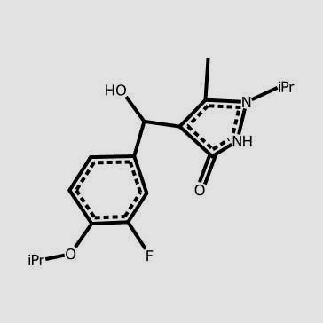 Cc1c(C(O)c2ccc(OC(C)C)c(F)c2)c(=O)[nH]n1C(C)C